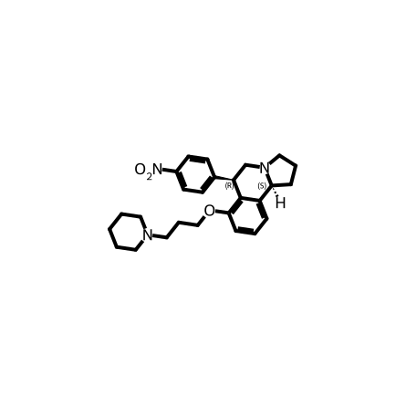 O=[N+]([O-])c1ccc([C@H]2CN3CCC[C@H]3c3cccc(OCCCN4CCCCC4)c32)cc1